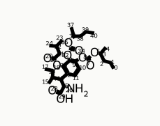 CCCC(C)OC(=O)Oc1ccc(C(C(C)C(C)OC(=O)CC(C)C)[C@H](N)C(=O)O)cc1OC(=O)OC(C)CCC